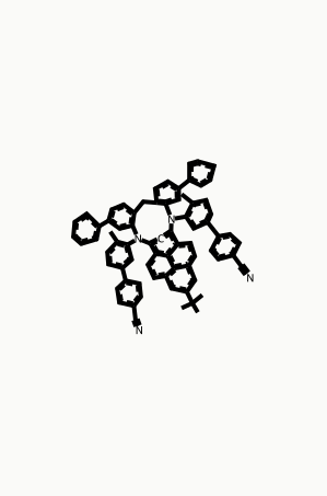 Cc1ccc(-c2ccc(C#N)cc2)cc1N1c2cc(-c3ccccc3)ccc2Cc2ccc(-c3ccccc3)cc2N(c2cc(-c3ccc(C#N)cc3)ccc2C)c2cc1c1ccc3cc(C(C)(C)C)cc4ccc2c1c34